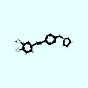 Nc1cc(C#Cc2ccc(CN3CCCC3)cc2)ccc1O